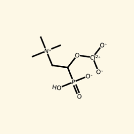 C[N+](C)(C)CC(O[Cl+2]([O-])[O-])P(=O)([O-])O